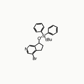 CC(C)(C)[Si](OC1CCc2c(Br)cncc21)(c1ccccc1)c1ccccc1